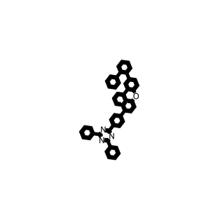 c1ccc(-c2nc(-c3ccccc3)nc(-c3ccc(-c4ccc5c6c(cccc46)-c4cc(-c6ccccc6-c6ccccc6)ccc4O5)cc3)n2)cc1